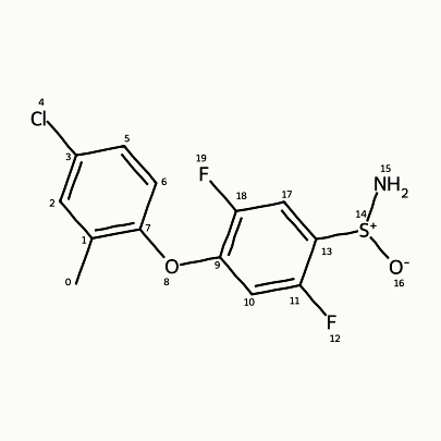 Cc1cc(Cl)ccc1Oc1cc(F)c([S+](N)[O-])cc1F